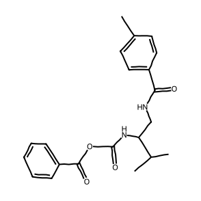 Cc1ccc(C(=O)NCC(NC(=O)OC(=O)c2ccccc2)C(C)C)cc1